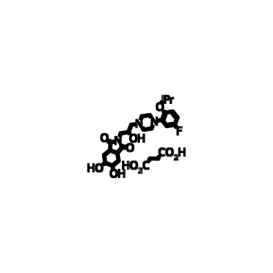 CC(C)Oc1ccc(F)cc1N1CCN(CC(O)CN2C(=O)C3CC(O)C(O)CC3C2=O)CC1.O=C(O)CCC(=O)O